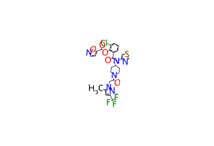 Cc1cc(C(F)(F)F)nn1CC(=O)N1CCC(N(C(=O)c2cccc(Cl)c2OC(=O)c2ccno2)c2cscn2)CC1